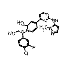 Cn1nccc1Nc1nccc(C2=CC(O)N([C@H](CO)c3ccc(Cl)c(F)c3)C=C2)n1